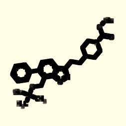 CC(C)(C)OC(=O)N1CCC(CCc2noc3c(CO[Si](C)(C)C(C)(C)C)c(-c4ccccc4)ccc23)CC1